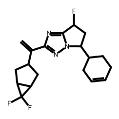 C=C(c1nc2n(n1)C(C1CC=CCC1)CC2F)C1CC2C(C1)C2(F)F